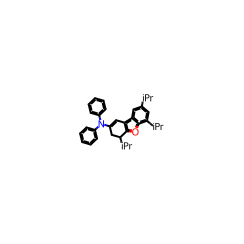 CC(C)c1cc(C(C)C)c2oc3c(c2c1)C=C(N(c1ccccc1)c1ccccc1)CC3C(C)C